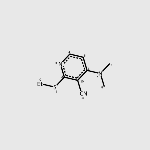 CCSc1nccc(N(C)C)c1C#N